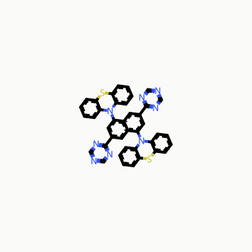 c1ccc2c(c1)Sc1ccccc1N2c1cc(-c2ncncn2)cc2c(N3c4ccccc4Sc4ccccc43)cc(-c3ncncn3)cc12